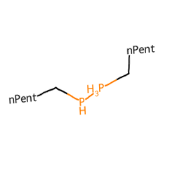 CCCCCCP[PH3]CCCCCC